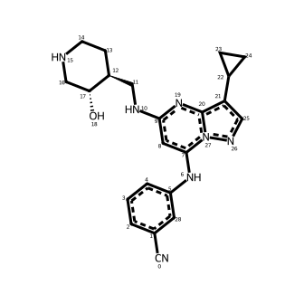 N#Cc1cccc(Nc2cc(NC[C@@H]3CCNC[C@H]3O)nc3c(C4CC4)cnn23)c1